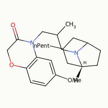 CCCCCC1CC2CC[C@H](C1)N2CC(C)CN1C(=O)COc2ccc(OC)cc21